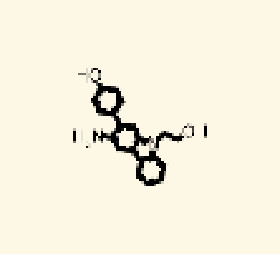 Nc1cc2c3ccccc3n(CCO)c2cc1-c1ccc(O)cc1